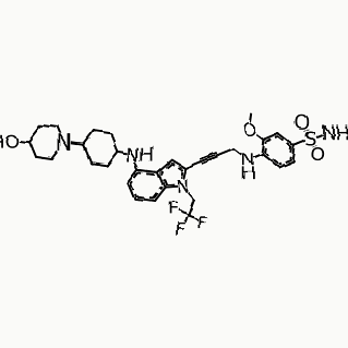 COc1cc(S(N)(=O)=O)ccc1NCC#Cc1cc2c(NC3CCC(N4CCC(O)CC4)CC3)cccc2n1CC(F)(F)F